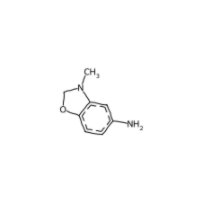 CN1COc2ccc(N)cc21